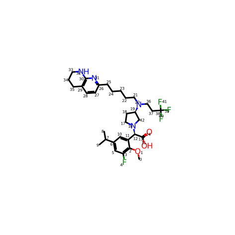 COc1c(F)cc(C(C)C)cc1[C@H](C(=O)O)N1CC[C@@H](N(CCCCCc2ccc3c(n2)NCCC3)CCC(F)(F)F)C1